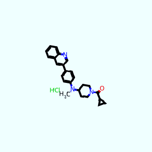 CN(c1ccc(-c2cnc3ccccc3c2)cc1)C1CCN(C(=O)C2CC2)CC1.Cl